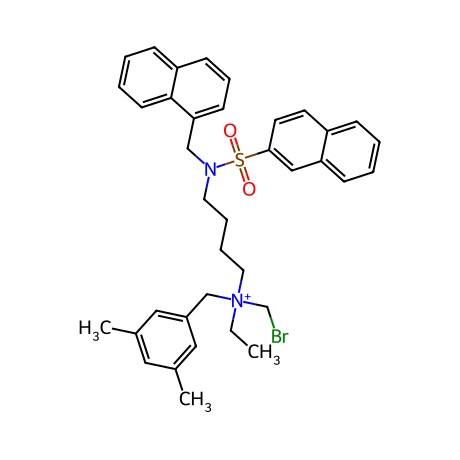 CC[N+](CBr)(CCCCN(Cc1cccc2ccccc12)S(=O)(=O)c1ccc2ccccc2c1)Cc1cc(C)cc(C)c1